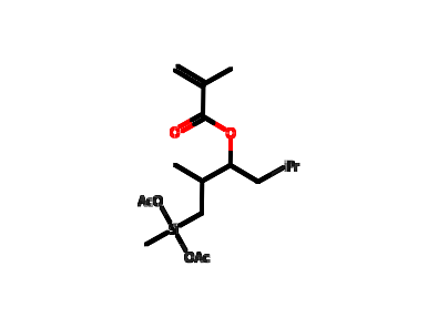 C=C(C)C(=O)OC(CC(C)C)C(C)C[Si](C)(OC(C)=O)OC(C)=O